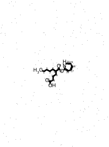 CCCCCC(CCCC(=O)O)C(=O)OC1=CC=CC=CN1